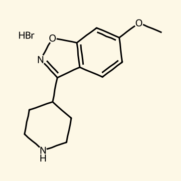 Br.COc1ccc2c(C3CCNCC3)noc2c1